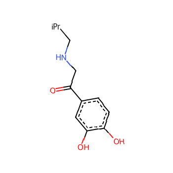 CC(C)CNCC(=O)c1ccc(O)c(O)c1